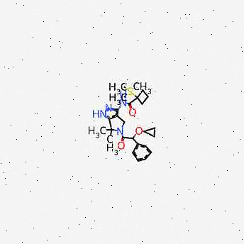 CC1(C)c2[nH]nc(NC(=O)C3(S(C)(C)C)CCC3)c2CN1C(=O)C(OC1CC1)c1ccccc1